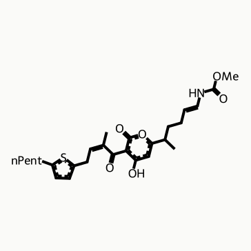 CCCCCc1ccc(C/C=C(/C)C(=O)c2c(O)cc(C(C)CC/C=C/NC(=O)OC)oc2=O)s1